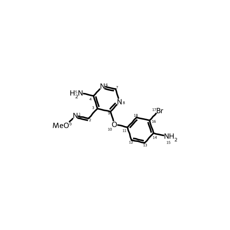 CON=Cc1c(N)ncnc1Oc1ccc(N)c(Br)c1